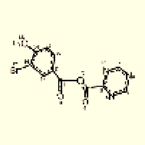 O=C(OC(=O)c1ncncn1)c1ccc(O)c(Br)c1